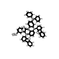 CC(C)(C)c1ccc2nc3c(n2c1)N(c1cccc2c1oc1ccccc12)c1cccc2c1B3c1ccc(N(c3ccccc3)c3ccccc3)cc1N2c1cccc2c1oc1ccccc12